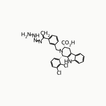 C=C(/N=N\NN)c1cccc(CN2[C@@H](c3cccc(Cl)c3Cl)c3[nH]c4ccccc4c3C[C@H]2C(=O)O)c1